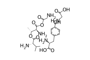 CC(C)[C@H](N)C(=O)O[C@H](C)[C@H](N)C(=O)OC(=O)CN.NCC(=O)O.N[C@@H](Cc1ccc(O)cc1)C(=O)O